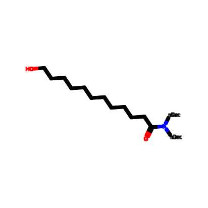 CCCCCCCCCCN(CCCCCCCCCC)C(=O)CCCCCCCCCCCO